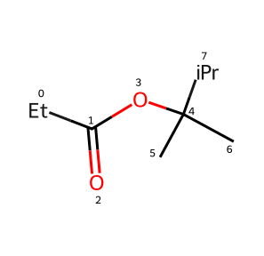 CCC(=O)OC(C)(C)C(C)C